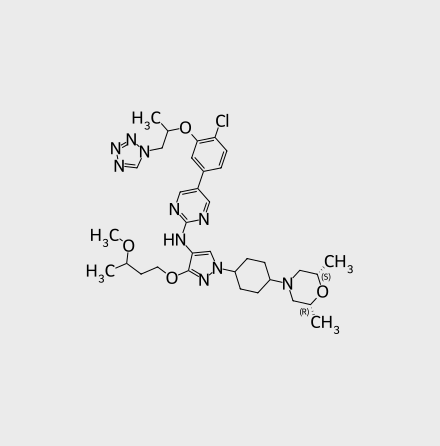 COC(C)CCOc1nn(C2CCC(N3C[C@@H](C)O[C@@H](C)C3)CC2)cc1Nc1ncc(-c2ccc(Cl)c(OC(C)Cn3cnnn3)c2)cn1